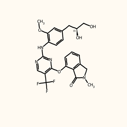 COc1cc(C[C@H](O)CO)ccc1Nc1ncc(C(F)(F)F)c(Oc2cccc3c2C(=O)N(C)C3)n1